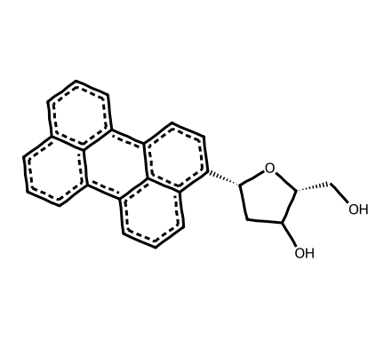 OC[C@H]1O[C@@H](c2ccc3c4cccc5cccc(c6cccc2c63)c54)CC1O